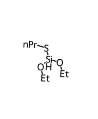 CCCS[SiH](OCC)OCC